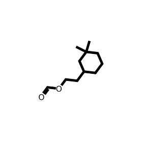 CC1(C)CCCC(CCOC=O)C1